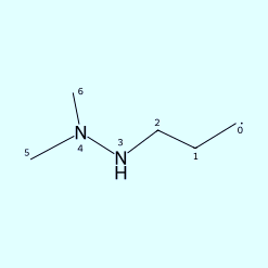 [CH2]CCNN(C)C